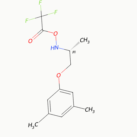 Cc1cc(C)cc(OC[C@@H](C)NOC(=O)C(F)(F)F)c1